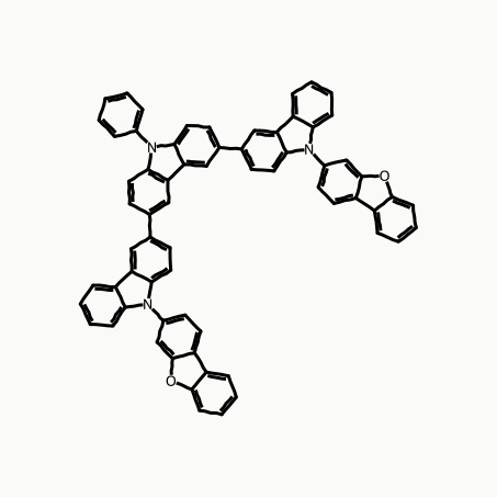 c1ccc(-n2c3ccc(-c4ccc5c(c4)c4ccccc4n5-c4ccc5c(c4)oc4ccccc45)cc3c3cc(-c4ccc5c(c4)c4ccccc4n5-c4ccc5c(c4)oc4ccccc45)ccc32)cc1